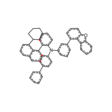 c1ccc(-c2ccc(N(c3cccc(-c4cccc5oc6ccccc6c45)c3)c3ccccc3-c3cccc4cccc(C5CCCCC5)c34)cc2)cc1